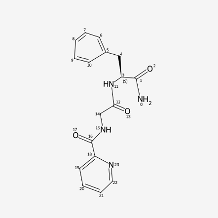 NC(=O)[C@H](Cc1ccccc1)NC(=O)CNC(=O)c1ccccn1